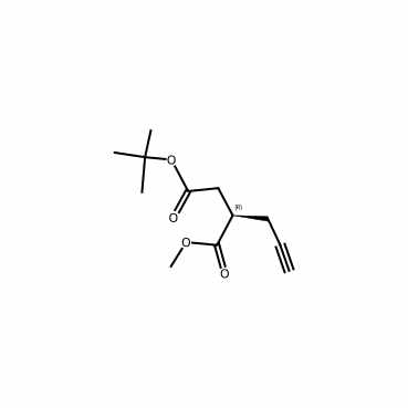 C#CC[C@H](CC(=O)OC(C)(C)C)C(=O)OC